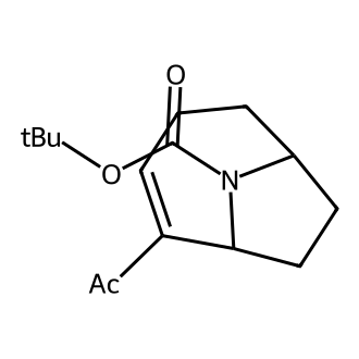 CC(=O)C1=CCCC2CCC1N2C(=O)OC(C)(C)C